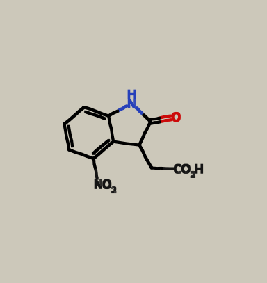 O=C(O)CC1C(=O)Nc2cccc([N+](=O)[O-])c21